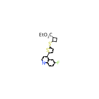 CCOC(=O)C1CCC1Sc1ccc(-c2ccnc3ccc(F)cc23)s1